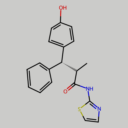 CC(C(=O)Nc1nccs1)[C@H](c1ccccc1)c1ccc(O)cc1